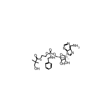 CC(C)(CO)C(=O)SCCOP(=O)(NCc1ccccc1)OC[C@H]1O[C@H](n2cnc3c(N)ncnc32)[C@@](C)(O)C1O